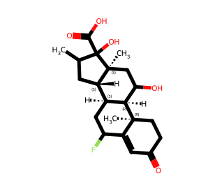 CC1C[C@H]2[C@@H]3CC(F)C4=CC(=O)CC[C@]4(C)[C@@H]3C(O)C[C@]2(C)C1(O)C(=O)O